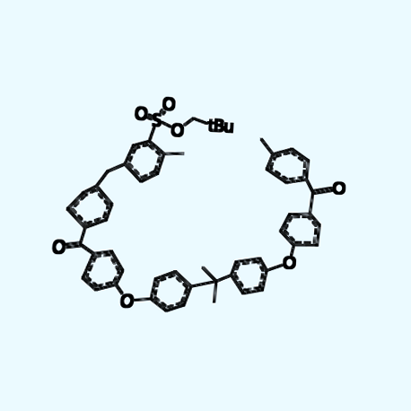 Cc1ccc(C(=O)c2ccc(Oc3ccc(C(C)(C)c4ccc(Oc5ccc(C(=O)c6ccc(Cc7ccc(C)c(S(=O)(=O)OCC(C)(C)C)c7)cc6)cc5)cc4)cc3)cc2)cc1